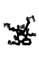 CCCCc1c2c(n(CCCC)c1C)C(=O)N(CC)c1ccccc1N2C(=O)CCl